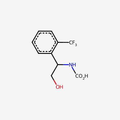 O=C(O)NC(CO)c1ccccc1C(F)(F)F